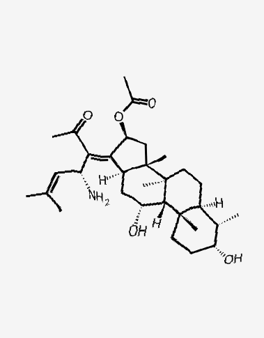 CC(=O)O[C@H]1C[C@@]2(C)[C@@H](C[C@@H](O)[C@H]3[C@@]4(C)CC[C@@H](O)[C@@H](C)[C@@H]4CC[C@@]32C)/C1=C(/C(C)=O)[C@H](N)C=C(C)C